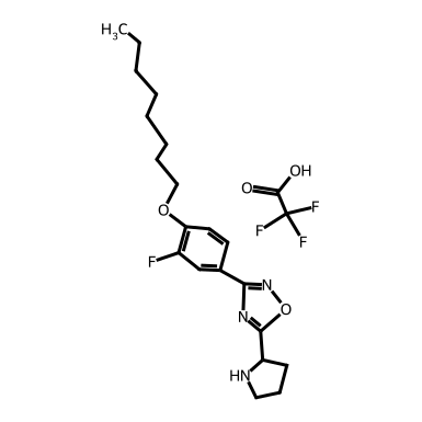 CCCCCCCCOc1ccc(-c2noc(C3CCCN3)n2)cc1F.O=C(O)C(F)(F)F